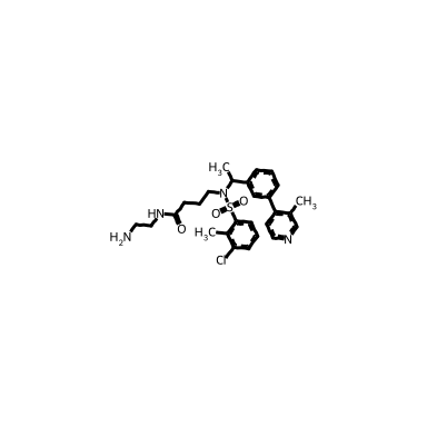 Cc1cnccc1-c1cccc(C(C)N(CCCC(=O)NCCN)S(=O)(=O)c2cccc(Cl)c2C)c1